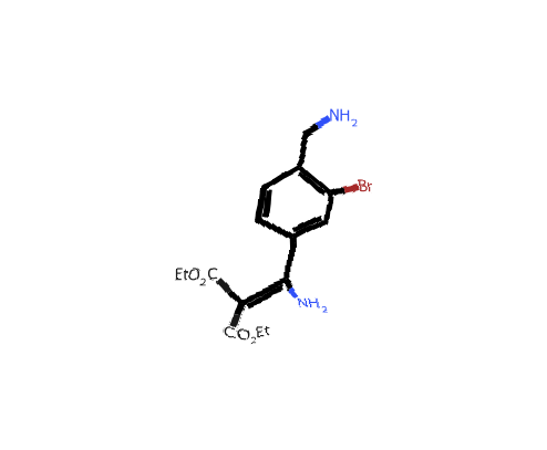 CCOC(=O)C(C(=O)OCC)=C(N)c1ccc(CN)c(Br)c1